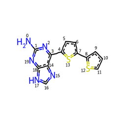 Nc1nc(-c2ccc(-c3cccs3)s2)c2nc[nH]c2n1